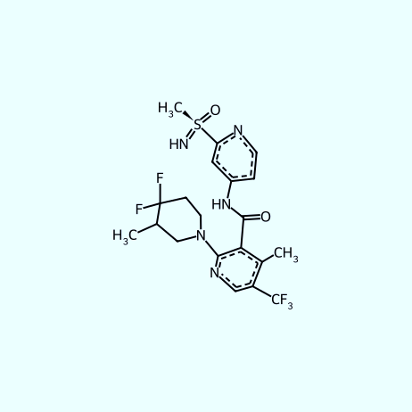 Cc1c(C(F)(F)F)cnc(N2CCC(F)(F)C(C)C2)c1C(=O)Nc1ccnc([S@](C)(=N)=O)c1